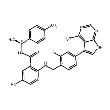 Cc1ccc([C@H](C)NC(=O)c2cc(C#N)cnc2NCc2ccc(-c3c[nH]c4ncnc(N)c34)cc2F)cc1